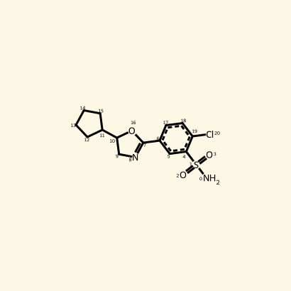 NS(=O)(=O)c1cc(C2=NCC(C3CCCC3)O2)ccc1Cl